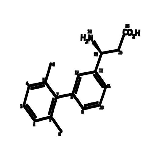 Cc1cccc(C)c1-c1cccc([C@@H](N)CC(=O)O)c1